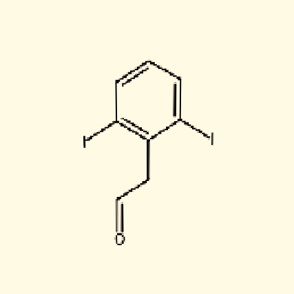 O=CCc1c(I)cccc1I